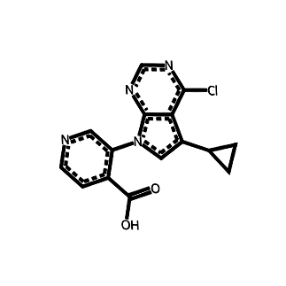 O=C(O)c1ccncc1-n1cc(C2CC2)c2c(Cl)ncnc21